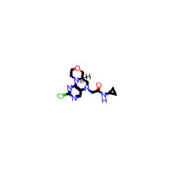 O=C(CN1C[C@@H]2COCCN2c2nc(Cl)ncc21)NC1CC1